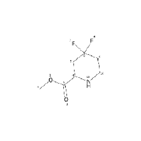 COC(=O)C1CC(F)(F)CCN1